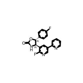 O=C1N[C@H](c2cc(-c3ccccn3)cnc2F)[C@@H](c2ccc(F)cc2)O1